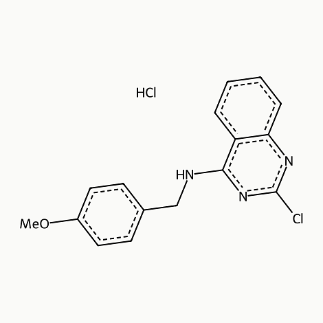 COc1ccc(CNc2nc(Cl)nc3ccccc23)cc1.Cl